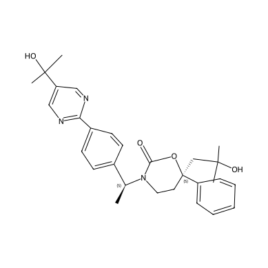 C[C@@H](c1ccc(-c2ncc(C(C)(C)O)cn2)cc1)N1CC[C@](CC(C)(C)O)(c2ccccc2)OC1=O